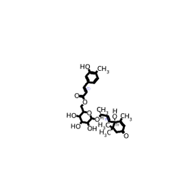 CC1=CC(=O)CC(C)(C)[C@@]1(O)/C=C/[C@@H](C)OC1OC(COC(=O)/C=C/c2ccc(C)c(O)c2)C(O)C(O)C1O